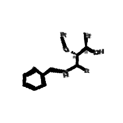 CCC(NCc1ccccc1)[C@H](OC(C)C)[C@H](O)CC